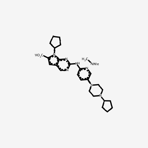 CNC.O=C(O)c1cc2cnc(Nc3ccc(N4CCN(C5CCCC5)CC4)cn3)nc2n1C1CCCC1